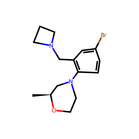 C[C@H]1CN(c2ccc(Br)cc2CN2CCC2)CCO1